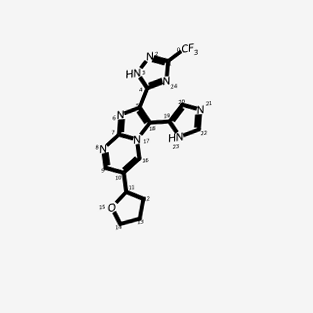 FC(F)(F)c1n[nH]c(-c2nc3ncc(C4CCCO4)cn3c2-c2cnc[nH]2)n1